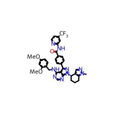 COc1ccc(CNc2ncnc3c2c(-c2ccc(C(=O)Nc4cc(C(F)(F)F)ccn4)cc2)nn3[C@@H]2CCCc3c2cnn3C)c(OC)c1